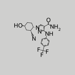 N#C[C@H]1C[C@@H](O)CC[C@@H]1n1cc(C(N)=O)c(Nc2ccc(C(F)(F)F)cc2)n1